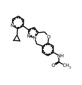 CC(=O)Nc1ccc2c(c1)OCc1cc(-c3cccnc3C3CC3)nn1C2